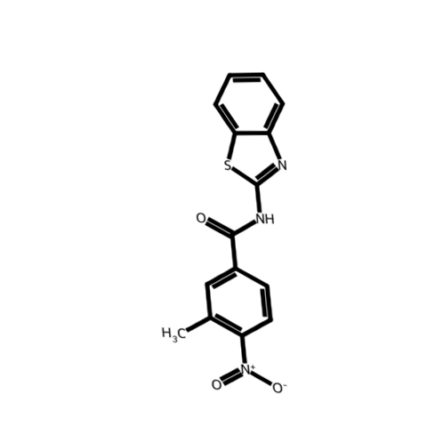 Cc1cc(C(=O)Nc2nc3ccccc3s2)ccc1[N+](=O)[O-]